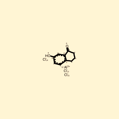 O=C1CCCc2ccc(O)cc21.[Al+3].[Cl-].[Cl-].[Cl-]